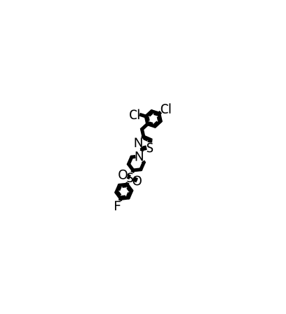 O=S(=O)(c1ccc(F)cc1)C1CCN(c2nc(Cc3ccc(Cl)cc3Cl)cs2)CC1